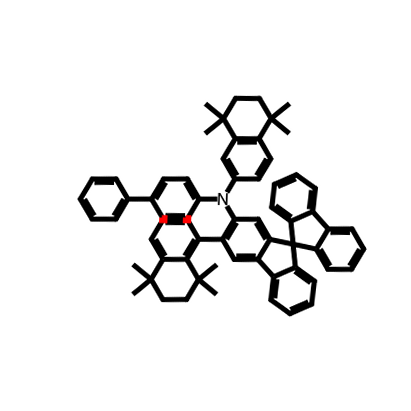 CC1(C)CCC(C)(C)c2cc(N(c3ccc(-c4ccccc4)cc3)c3cc4c(cc3-c3cccc5c3C(C)(C)CCC5(C)C)-c3ccccc3C43c4ccccc4-c4ccccc43)ccc21